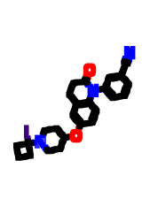 N#Cc1cccc(N2C(=O)CCc3cc(OC4CCN(C5(I)CCC5)CC4)ccc32)c1